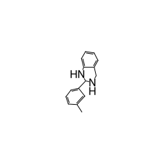 Cc1cccc(C2NCc3ccccc3N2)c1